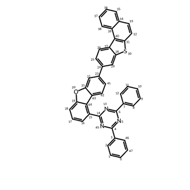 c1ccc(-c2nc(-c3ccccc3)nc(-c3cccc4oc5cc(-c6ccc7c(c6)sc6ccc8ccccc8c67)ccc5c34)n2)cc1